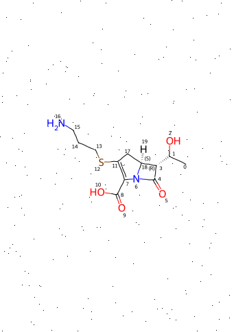 CC(O)[C@@H]1C(=O)N2C(C(=O)O)=C(SCCCN)C[C@@H]12